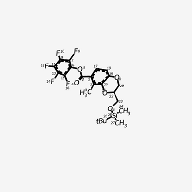 Cc1c(C(=O)Oc2c(F)c(F)c(F)c(F)c2F)ccc2c1O[C@H](CO[Si](C)(C)C(C)(C)C)CO2